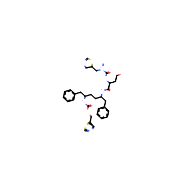 CN(CC1CN=CS1)C(=O)NC(CCO)C(=O)NC(CCC(Cc1ccccc1)NC(=O)OCc1cncs1)Cc1ccccc1